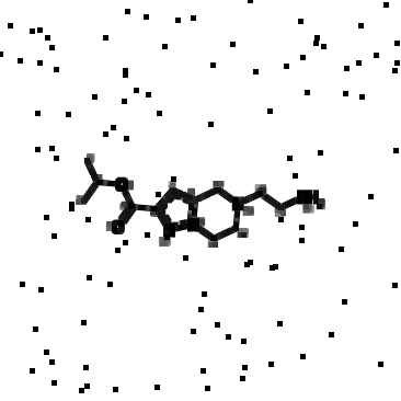 CC(C)OC(=O)c1cc2n(n1)CCN(CCN)C2